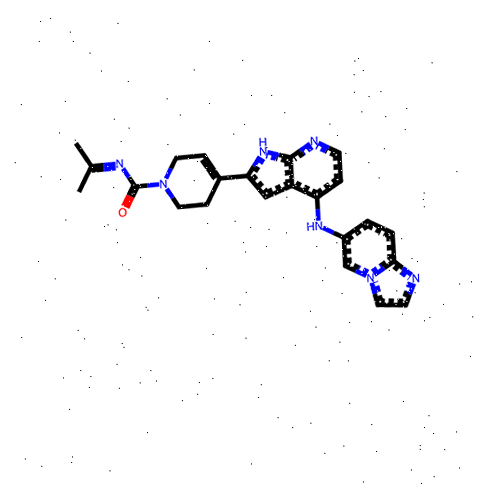 CC(C)=NC(=O)N1CC=C(c2cc3c(Nc4ccc5nccn5c4)ccnc3[nH]2)CC1